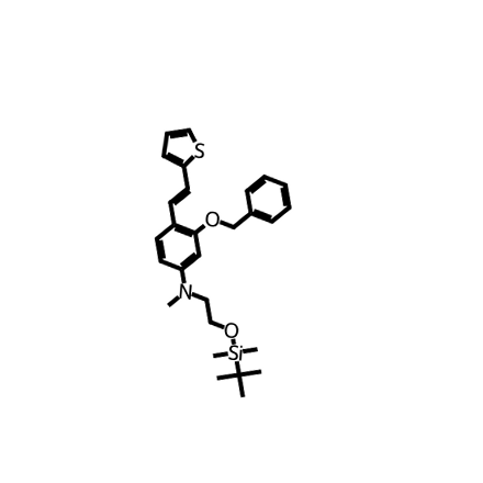 CN(CCO[Si](C)(C)C(C)(C)C)c1ccc(C=Cc2cccs2)c(OCc2ccccc2)c1